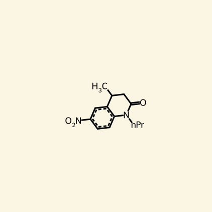 CCCN1C(=O)CC(C)c2cc([N+](=O)[O-])ccc21